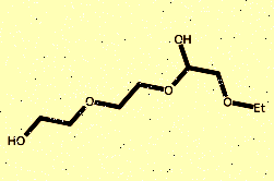 CCOCC(O)OCCOCCO